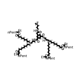 CCCCCC(CC)OC(=O)CCCCCCCCN(CCCCCCCCC(=O)OC(CC)CCCCC)CCCNC(=O)c1cc(CC(=O)NCCCN(C)C)cc(C(=O)NCCCN(CCCCCCCCC(=O)OC(CC)CCCCC)CCCCCCCCC(=O)OC(CC)CCCCC)c1